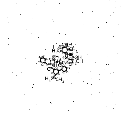 CCOc1c(CN2O[C@@H](CO)[C@@H]([C@H](C)O)[C@H]2C(=O)N[C@H]2C[C@@H](C)C(C)(C)[C@@H](C)[C@@H]2C)cccc1-c1cc(C(=O)N[C@@H](Cc2ccccc2)CN(C)C)cc(N(C)C)c1